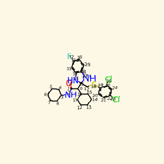 O=C(NC1CCCCC1)C(C1CCCCC1)C1(CSc2ccc(Cl)cc2Cl)Nc2ccc(F)cc2N1